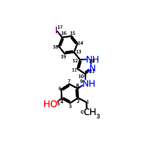 CCc1cc(O)ccc1Nc1cc(-c2ccc(I)cc2)[nH]n1